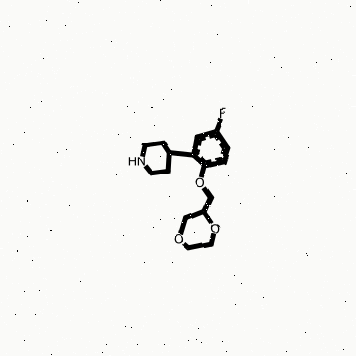 Fc1ccc(OCC2COCCO2)c(C2CCNCC2)c1